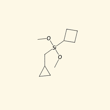 CO[Si](CC1CC1)(OC)C1CCC1